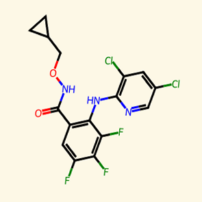 O=C(NOCC1CC1)c1cc(F)c(F)c(F)c1Nc1ncc(Cl)cc1Cl